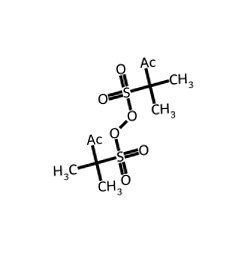 CC(=O)C(C)(C)S(=O)(=O)OOS(=O)(=O)C(C)(C)C(C)=O